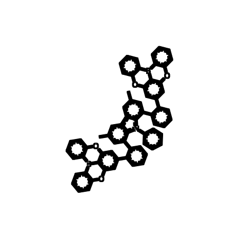 Cc1cc(-c2ccccc2-c2cc3c4c(c2)Oc2ccccc2B4c2ccccc2O3)c2c(c1)c1cc(C)cc(-c3ccccc3-c3cc4c5c(c3)Oc3ccccc3B5c3ccccc3O4)c1n2-c1ccccc1